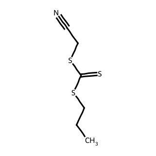 CCCSC(=S)SCC#N